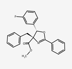 COC(=O)[C@@]1(Cc2ccccc2)N=C(c2ccccc2)O[C@H]1c1cccc(F)c1